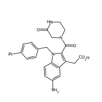 Bc1ccc2c(c1)c(CC(=O)O)c(C(=O)N1CCNC(=O)C1)n2Cc1ccc(C(C)C)cc1